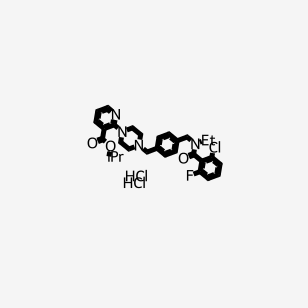 CCN(Cc1ccc(CN2CCN(c3ncccc3C(=O)OC(C)C)CC2)cc1)C(=O)c1c(F)cccc1Cl.Cl.Cl